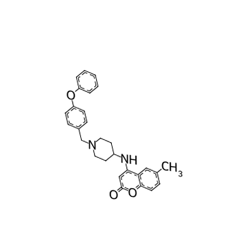 Cc1ccc2oc(=O)cc(NC3CCN(Cc4ccc(Oc5ccccc5)cc4)CC3)c2c1